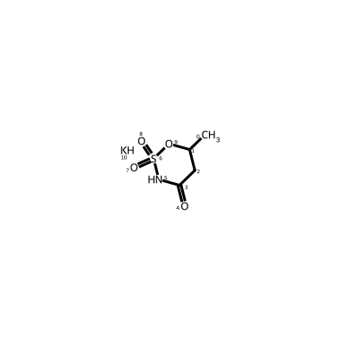 CC1CC(=O)NS(=O)(=O)O1.[KH]